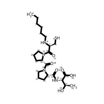 CCCCCCN[C@@H](CS)C(=O)N1CCC[C@H]1C(=O)N1CCC[C@H]1C(=O)N[C@H](C(=O)O)[C@@H](C)O